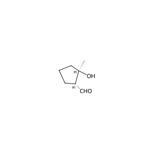 C[C@@]1(O)CCC[C@H]1C=O